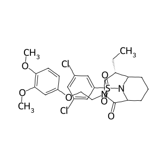 CC[C@H]1CN(CCOc2ccc(OC)c(OC)c2)C(=O)C2CCCC1N2S(=O)(=O)c1cc(Cl)cc(Cl)c1